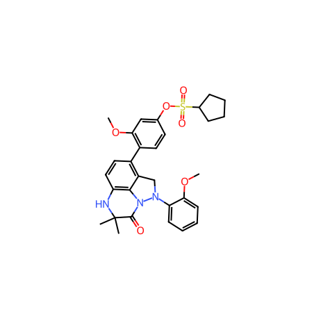 COc1cc(OS(=O)(=O)C2CCCC2)ccc1-c1ccc2c3c1CN(c1ccccc1OC)N3C(=O)C(C)(C)N2